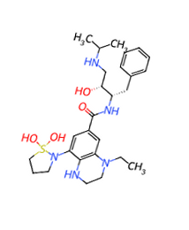 CCN1CCNc2c1cc(C(=O)N[C@@H](Cc1ccccc1)[C@H](O)CNC(C)C)cc2N1CCCS1(O)O